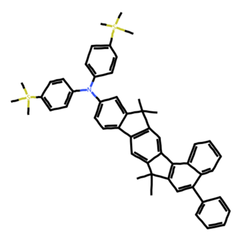 CC1(C)c2cc(N(c3ccc(S(C)(C)C)cc3)c3ccc(S(C)(C)C)cc3)ccc2-c2cc3c(cc21)-c1c(cc(-c2ccccc2)c2ccccc12)C3(C)C